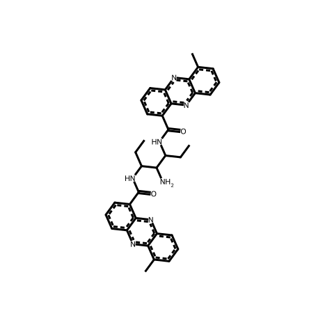 CCC(NC(=O)c1cccc2nc3c(C)cccc3nc12)C(N)C(CC)NC(=O)c1cccc2nc3c(C)cccc3nc12